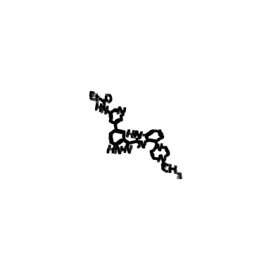 CCC(=O)Nc1cncc(-c2ccc3[nH]nc(-c4nc5c(N6CCN(C)CC6)cccc5[nH]4)c3c2)c1